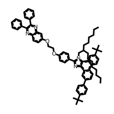 CCCCCCCCC(CCCCCC)Cn1c(-c2ccc(OCCOc3ccc4nc(-c5ccccc5)c(-c5ccccc5)nc4c3)cc2)nc2c3cc(-c4ccc(C(C)(C)C)cc4)ccc3c3ccc(C(C)(C)C)cc3c21